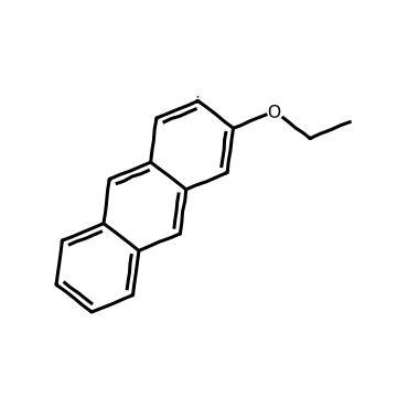 CCOc1[c]cc2cc3ccccc3cc2c1